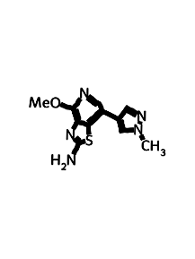 COc1ncc(-c2cnn(C)c2)c2sc(N)nc12